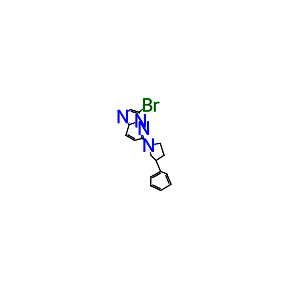 Brc1cnc2ccc(N3CCC(c4ccccc4)C3)nn12